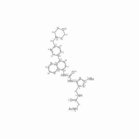 CC(=O)NCC(=O)NCc1sc(C(C)(C)C)cc1NC(=O)Nc1ccc(-c2ccc(CN3CCOCC3)nc2)c2ccccc12